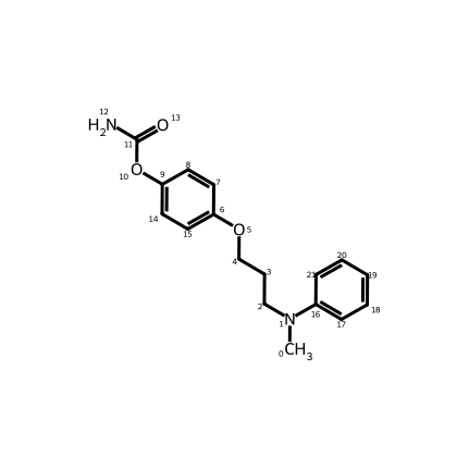 CN(CCCOc1ccc(OC(N)=O)cc1)c1ccccc1